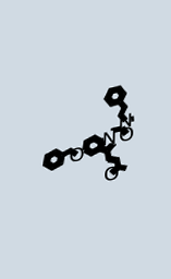 CC(=O)C=Cc1cn(CC(=O)N(C)CCc2ccccc2)c2ccc(OCc3ccccc3)cc12